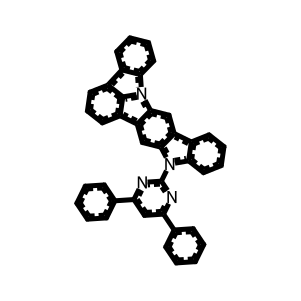 c1ccc(-c2cc(-c3ccccc3)nc(-n3c4ccccc4c4cc5c(cc43)c3cccc4c6ccccc6n5c43)n2)cc1